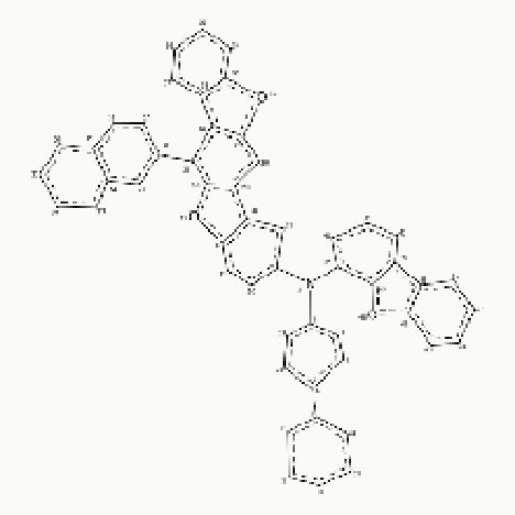 c1ccc(-c2ccc(N(c3ccc4oc5c(-c6ccc7ccccc7c6)c6c(cc5c4c3)oc3ccccc36)c3cccc4c3oc3ccccc34)cc2)cc1